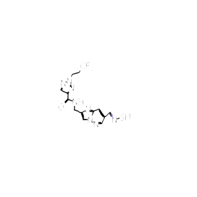 O=C(NCc1cn2ncc(/C=N/S)cc2n1)c1cnn(CCC(F)(F)F)n1